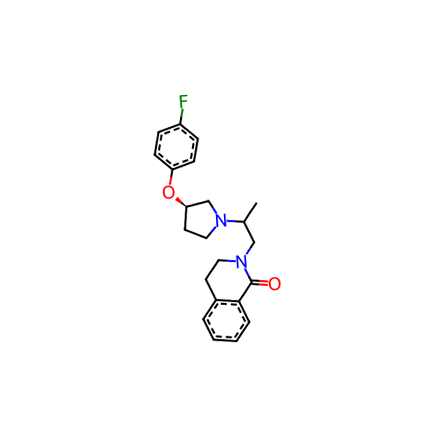 CC(CN1CCc2ccccc2C1=O)N1CC[C@@H](Oc2ccc(F)cc2)C1